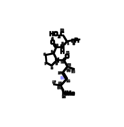 CCCC(NC(=O)C1CCCN1C(=O)[C@@H](C)/C=C/[C@H](C)NC)C(=O)O